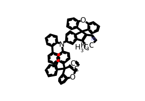 C/C=C\C1=C(C)c2cc(N(c3ccc4c(c3)-c3ccccc3C43c4ccccc4Oc4ccccc43)c3ccccc3-c3ccccc3)ccc2C12c1ccccc1Oc1ccccc12